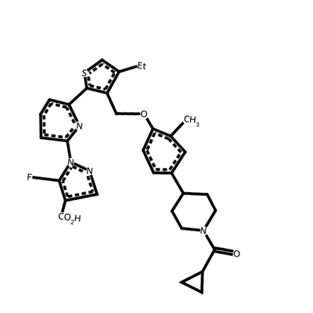 CCc1csc(-c2cccc(-n3ncc(C(=O)O)c3F)n2)c1COc1ccc(C2CCN(C(=O)C3CC3)CC2)cc1C